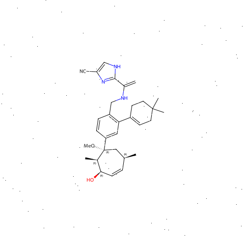 C=C(NCc1ccc([C@@]2(OC)C[C@@H](C)C=C[C@@H](O)[C@H]2C)cc1C1=CCC(C)(C)CC1)c1nc(C#N)c[nH]1